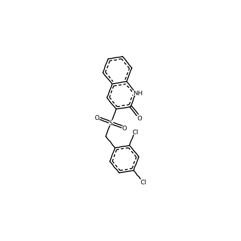 O=c1[nH]c2ccccc2cc1S(=O)(=O)Cc1ccc(Cl)cc1Cl